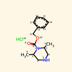 CC1CNCC(C)N1C(=O)OCc1ccccc1.Cl